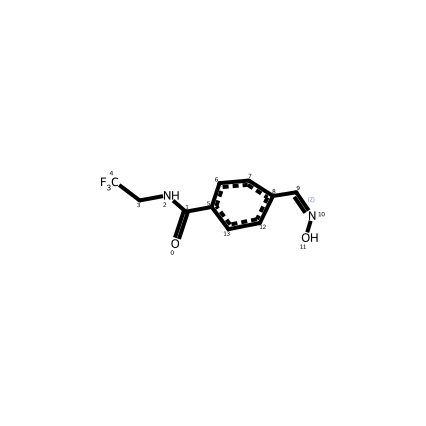 O=C(NCC(F)(F)F)c1ccc(/C=N\O)cc1